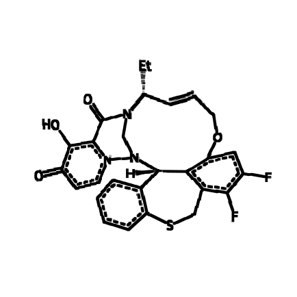 CC[C@@H]1/C=C/COc2cc(F)c(F)c3c2[C@H](c2ccccc2SC3)N2CN1C(=O)c1c(O)c(=O)ccn12